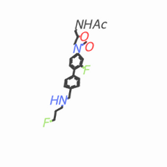 CC(=O)NCC1CN(c2ccc(-c3ccc(CNCCCF)cc3)c(F)c2)C(=O)O1